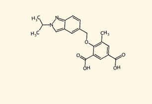 Cc1cc(C(=O)O)cc(C(=O)O)c1OCc1ccc2nn(C(C)C)cc2c1